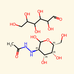 CC(=O)NN[C@H]1C(O)O[C@H](CO)[C@H](O)[C@@H]1O.O=CC(O)C(O)C(O)C(O)CO